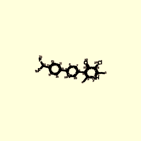 Cc1[nH]c(C)c(-c2ccc(-c3ccc(C(F)F)cc3)nc2)c(=O)c1Cl